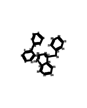 c1ccc(-c2ccccc2)cc1.c1ccc(Cc2ccnc3ccccc23)cc1